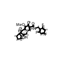 COc1c2n(cc(C(=O)NCc3c(F)cc(F)cc3F)c1=O)C[C@H]1OC3CCC(C3)[C@@H]1C2=O